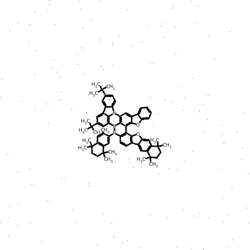 Cc1cc2c(cc1N1B3c4c(cc5c(oc6ccccc65)c4-c4c1ccc1c4oc4cc5c(cc41)C(C)(C)CCC5(C)C)-n1c4ccc(C(C)(C)C)cc4c4cc(C(C)(C)C)cc3c41)C(C)(C)CCC2(C)C